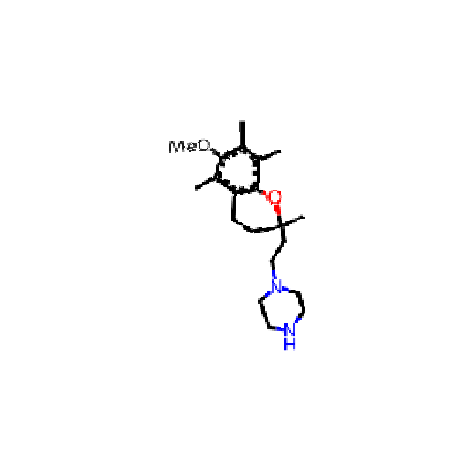 COc1c(C)c(C)c2c(c1C)CCC(C)(CCN1CCNCC1)O2